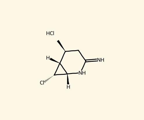 C[C@H]1CC(=N)N[C@@H]2[C@H](Cl)[C@@H]21.Cl